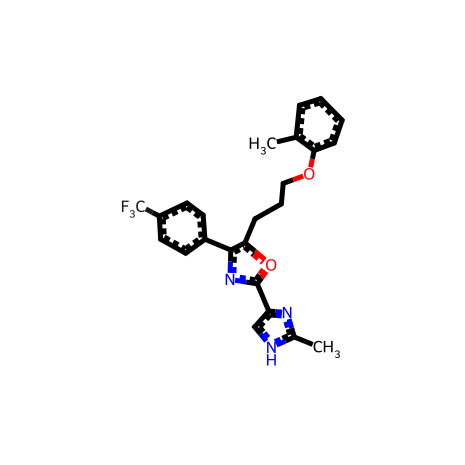 Cc1nc(-c2nc(-c3ccc(C(F)(F)F)cc3)c(CCCOc3ccccc3C)o2)c[nH]1